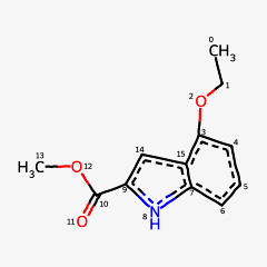 CCOc1cccc2[nH]c(C(=O)OC)cc12